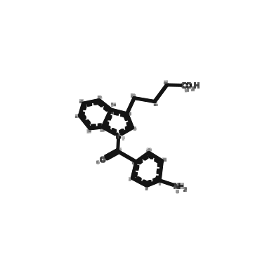 Nc1ccc(C(=O)n2cc(CCCC(=O)O)c3ccccc32)cc1